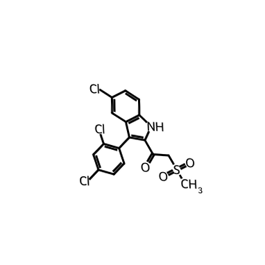 CS(=O)(=O)CC(=O)c1[nH]c2ccc(Cl)cc2c1-c1ccc(Cl)cc1Cl